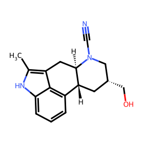 Cc1[nH]c2cccc3c2c1C[C@@H]1[C@@H]3C[C@@H](CO)CN1C#N